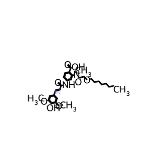 CCCCCCCCOCC(=O)N(C)c1cc(NC(=O)/C=C/c2cc(OC)c(O)c(OC)c2)ccc1C(=O)O